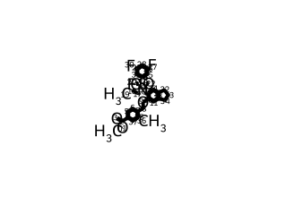 COC(=O)c1ccc(COc2cc3c(cc2N(CC(C)F)S(=O)(=O)c2cc(F)cc(F)c2)CCC3)c(C)c1